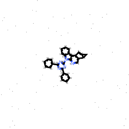 C1=C2CC2c2cnc3c(c21)c1ccccc1n3-c1nc(-c2ccccc2)nc(-c2ccccc2)n1